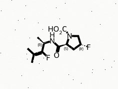 CC(C)=C(F)[C@@H](C)NC(=O)[C@@H]1C[C@@H](F)CN1C(=O)O